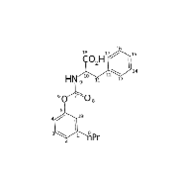 CCCc1cccc(OC(=O)NC(Cc2ccccc2)C(=O)O)c1